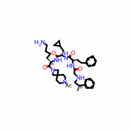 CC(=O)N1CCC2(CC1)CN(C(=O)[C@@H](CCCCN)NC(=O)[C@@H](CC1CC1)NC(=O)[C@@H](CCc1ccccc1)NC(=O)CNC[C@H](C)c1ccccc1)C2